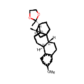 COc1ccc2c(c1)CC[C@@H]1[C@@H]2CC[C@@]2(C)C13CC[C@]2(C1(C)OCCO1)[C@H](C)C3